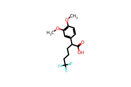 COc1ccc(C(CCCC(F)(F)F)C(=O)O)cc1OC